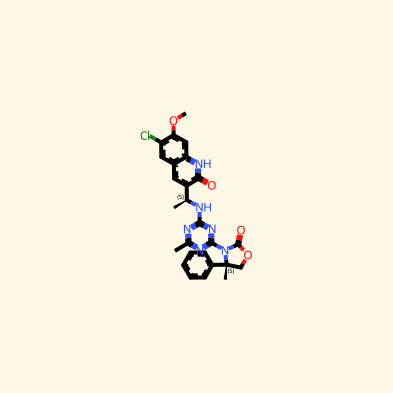 COc1cc2[nH]c(=O)c([C@H](C)Nc3nc(C)nc(N4C(=O)OC[C@]4(C)c4ccccc4)n3)cc2cc1Cl